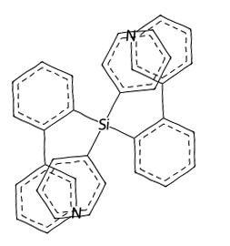 c1ccc([Si](c2ccccc2)(c2ccccc2-c2cccnc2)c2ccccc2-c2cccnc2)cc1